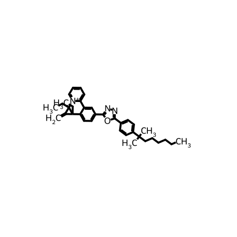 C=C1C2(CC)c3ccc(-c4nnc(-c5ccc(C(C)(C)CCCCCC)cc5)o4)cc3-c3cccc[n+]3C12CC